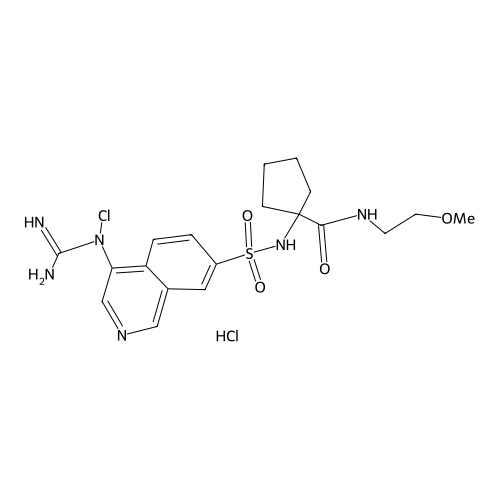 COCCNC(=O)C1(NS(=O)(=O)c2ccc3c(N(Cl)C(=N)N)cncc3c2)CCCC1.Cl